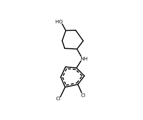 OC1CCC(Nc2ccc(Cl)c(Cl)c2)CC1